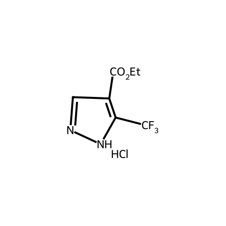 CCOC(=O)c1cn[nH]c1C(F)(F)F.Cl